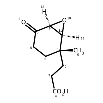 C[C@@]1(CCC(=O)O)CCC(=O)[C@H]2O[C@H]21